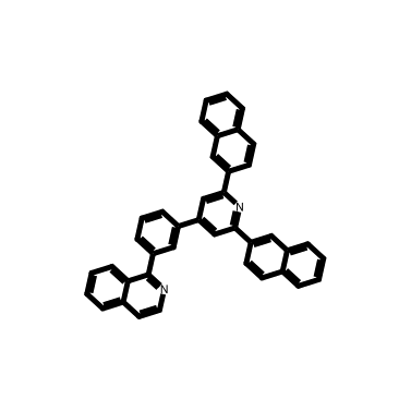 c1cc(-c2cc(-c3ccc4ccccc4c3)nc(-c3ccc4ccccc4c3)c2)cc(-c2nccc3ccccc23)c1